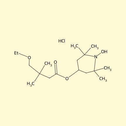 CCOCC(C)(C)CC(=O)OC1CC(C)(C)N(O)C(C)(C)C1.Cl